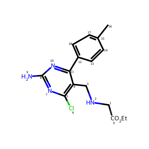 CCOC(=O)CNCc1c(Cl)nc(N)nc1-c1ccc(C)cc1